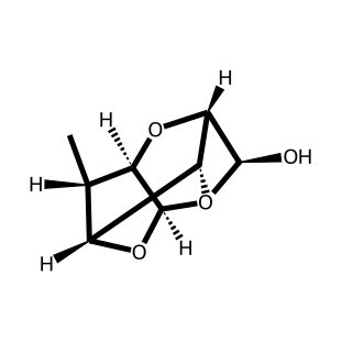 C[C@@H]1[C@@H]2O[C@@H]3O[C@H](O)[C@H]1O[C@@H]3[C@H]2C